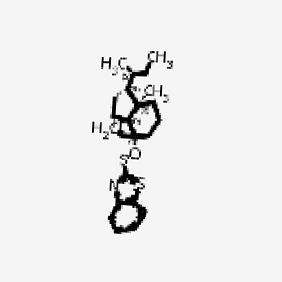 C=C[C@]1(OSc2nc3ccccc3s2)CCC[C@]2(C)[C@@H]([C@@H](C)CC)CC[C@H]21